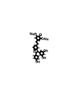 COc1cc(/C=C/c2ccc3c(c2)C(c2cc(O)cc(O)c2)C(c2ccc(O)cc2)O3)cc(OC)c1Cl